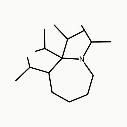 CC(C)C1CCCCN(C(C)C)C1(C(C)C)C(C)C